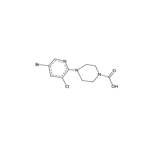 O=C(O)N1CCN(c2ncc(Br)cc2Cl)CC1